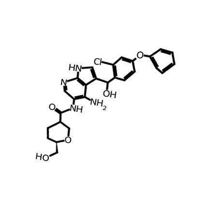 Nc1c(NC(=O)C2CC[C@H](CO)OC2)cnc2[nH]cc(C(O)c3ccc(Oc4ccccc4)cc3Cl)c12